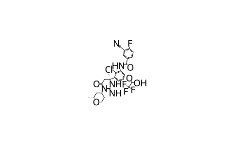 C[C@@H]1C[C@H](N2C(=N)N[C@](C)(c3cccc(NC(=O)c4ccc(F)c(C#N)c4)c3Cl)CC2=O)CCO1.O=C(O)C(F)(F)F